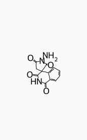 NN1C(=O)CC2(C(=O)NC(=O)c3ccccc32)C1=O